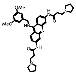 COc1cc(CNc2c3ccc(NC(=O)CCN4CCCC4)cc3nc3cc(NC(=O)CCN4CCCC4)ccc23)cc(OC)c1